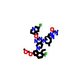 CCc1c(F)ccc2cc(OCOC)cc(N3CCc4c(nc(OC[C@@]56CCCN5C[C@H](F)C6)nc4N4Cc5cn(C(=O)N(C)C)nc5CC(C)C4)C3)c12